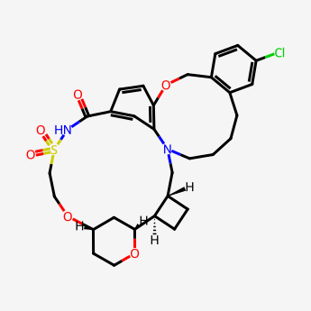 O=C1NS(=O)(=O)CCO[C@H]2CCO[C@H](C2)[C@@H]2CC[C@H]2CN2CCCCc3cc(Cl)ccc3COc3ccc1cc32